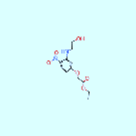 CCOC(=O)COc1ccc([N+](=O)[O-])c(NCCO)c1